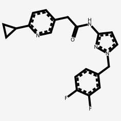 O=C(Cc1ccc(C2CC2)nc1)Nc1ccn(Cc2ccc(F)c(F)c2)n1